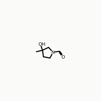 CC1(O)CCN(C=O)C1